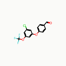 O=Cc1ccc(Oc2cc(Cl)cc(OC(F)(F)F)c2)cc1